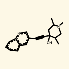 CC1CC(O)(C#Cc2cnc3ccccc3c2)C(C)CN1C